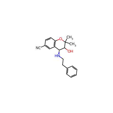 CC1(C)Oc2ccc(C#N)cc2[C@H](NCCc2ccccc2)C1O